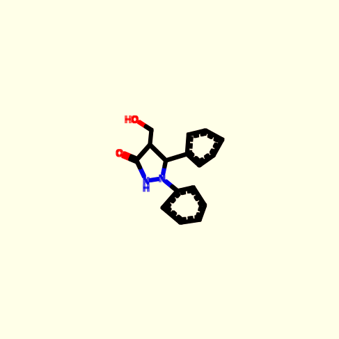 O=C1NN(c2ccccc2)C(c2ccccc2)C1CO